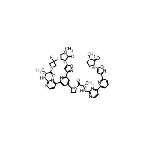 C[C@H](Nc1nccc(-c2cc(C3CCN3C(=O)[C@H](C)Nc3nccc(-c4cccc(-c5cc([C@@H]6CCN(C)C6=O)on5)n4)n3)cc(-c3cc([C@@H]4CCN(C)C4=O)on3)n2)n1)C(=O)N1CC(F)(F)C1